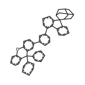 c1ccc(C2(c3ccccc3)c3ccccc3Oc3ccc(-c4cccc(-c5cccc6c5-c5ccccc5C65C6CC7CC(C6)CC5C7)c4)cc32)cc1